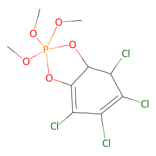 COP1(OC)(OC)OC2=C(Cl)C(Cl)=C(Cl)C(Cl)C2O1